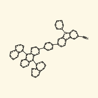 N#Cc1ccc2c(c1)c1ccc(-c3ccc(-c4ccc5c(-c6cccc7ccccc67)c6ccccc6c(-c6cccc7ccccc67)c5c4)cc3)cc1n2-c1ccccc1